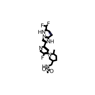 CC1CCC(CNS(C)(=O)=O)CN1c1cc(-c2cnc(/C=C\C(=N)C(F)F)[nH]2)ncc1F